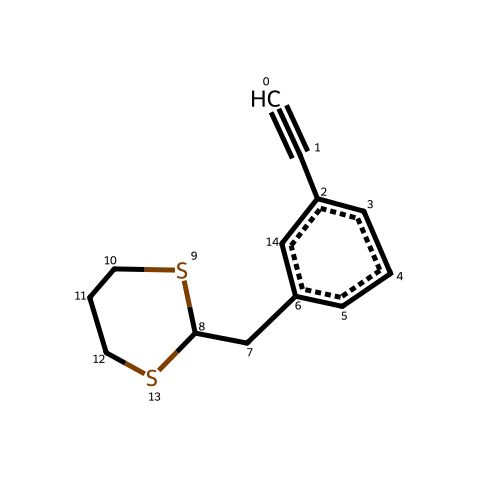 C#Cc1cccc(CC2SCCCS2)c1